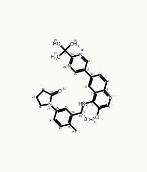 C[C@@H](Nc1c(Cl)cnc2ccc(-c3cnc(C(C)(C)O)nc3)cc12)c1cc(N2CCCC2=O)ccc1F